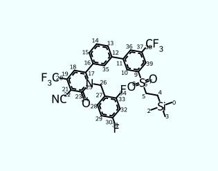 C[Si](C)(C)CCS(=O)(=O)c1cc(-c2cccc(-c3cc(C(F)(F)F)c(C#N)c(=O)n3Cc3ccc(F)cc3F)c2)cc(C(F)(F)F)c1